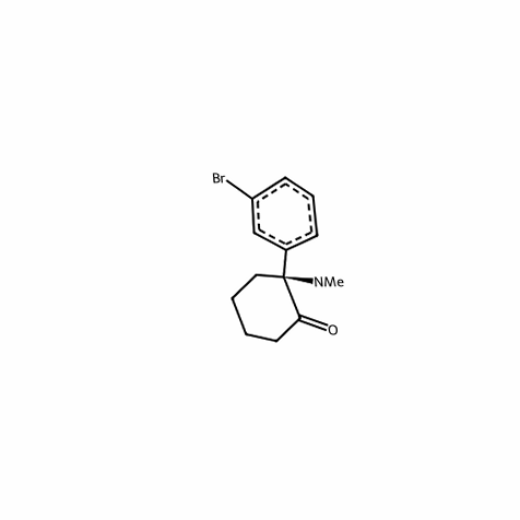 CN[C@]1(c2cccc(Br)c2)CCCCC1=O